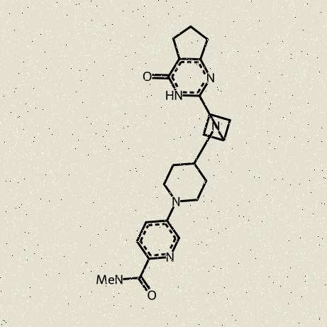 CNC(=O)c1ccc(N2CCC(N3CC4(c5nc6c(c(=O)[nH]5)CCC6)CC3C4)CC2)cn1